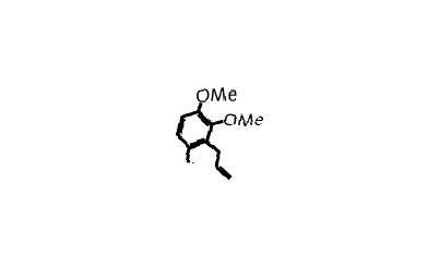 [CH2]c1ccc(OC)c(OC)c1CC=C